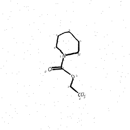 O=C(OCC(Cl)(Cl)Cl)N1CCCCC1